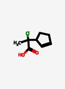 CC(Cl)(C(=O)O)C1C=CCC1